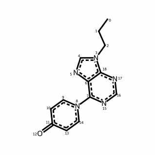 CCCn1cnc2c(-n3ccc(=O)cc3)ncnc21